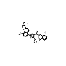 COc1ccc(-c2cc(C(=O)NCc3c(F)cccc3Cl)c(CN)o2)c2ccc(C(F)(F)F)nc12